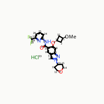 CO[C@H]1C[C@H](Oc2cc3nn(C4CCOCC4)cc3cc2C(=O)Nc2cccc(C(F)F)n2)C1.Cl